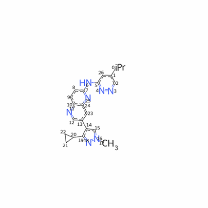 CC(C)c1cnnc(Nc2ccc3ncc(-c4cn(C)nc4C4CC4)cc3n2)c1